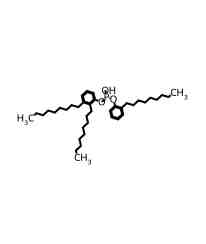 CCCCCCCCCc1ccccc1OP(O)Oc1cccc(CCCCCCCCC)c1CCCCCCCCC